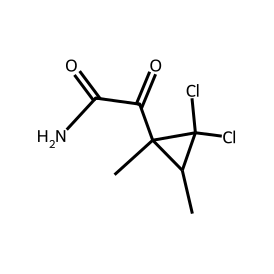 CC1C(Cl)(Cl)C1(C)C(=O)C(N)=O